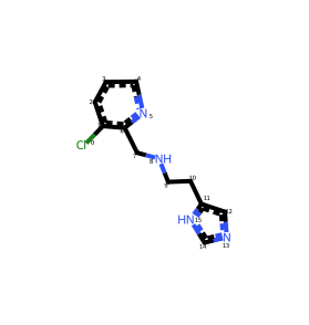 Clc1cccnc1CNCCc1cnc[nH]1